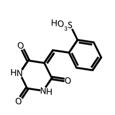 O=C1NC(=O)C(=Cc2ccccc2S(=O)(=O)O)C(=O)N1